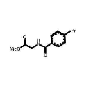 COC(=O)CNC(=O)c1ccc(C(C)C)cc1